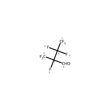 O=[C]C(F)(C(F)(F)F)C(F)(F)C(F)(F)F